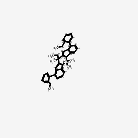 CCc1ccccc1-c1cccc2c1C=C1[CH]2[Hf]([CH3])([CH3])[CH]2C(=Cc3c(-c4ccccc4CC)cccc32)C1(C)CC